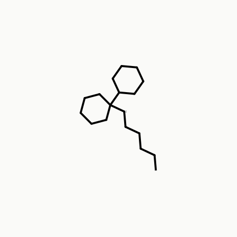 CCCCC[C]C1(C2CCCCC2)CCCCC1